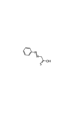 OC(=S)CN=Nc1ccccc1